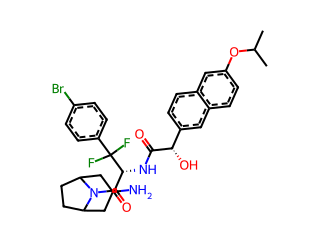 CC(C)Oc1ccc2cc([C@H](O)C(=O)N[C@H](C(=O)N3C4CCC3CC(N)C4)C(F)(F)c3ccc(Br)cc3)ccc2c1